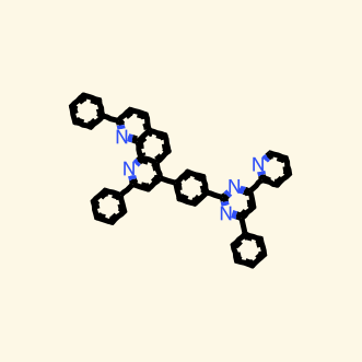 c1ccc(-c2cc(-c3ccccn3)nc(-c3ccc(-c4cc(-c5ccccc5)nc5c4ccc4ccc(-c6ccccc6)nc45)cc3)n2)cc1